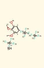 COc1cccc(OC)c1OC.F[B-](F)(F)F.F[B-](F)(F)F.F[B-](F)(F)F.[KH]